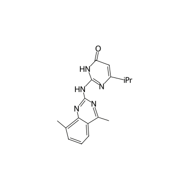 Cc1nc(Nc2nc(C(C)C)cc(=O)[nH]2)nc2c(C)cccc12